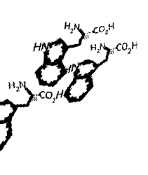 N[C@@H](Cc1c[nH]c2ccccc12)C(=O)O.N[C@@H](Cc1c[nH]c2ccccc12)C(=O)O.N[C@@H](Cc1c[nH]c2ccccc12)C(=O)O